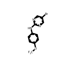 FC(F)(F)Oc1ccc(Nc2ncc(Br)cn2)cc1